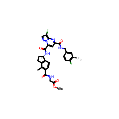 Cc1c(C(=O)NCC(=O)OC(C)(C)C)ccc2c1CC[C@@H]2NC(=O)c1cc(C(=O)NCc2ccc(F)c(C(F)(F)F)c2)nc2c(F)cnn12